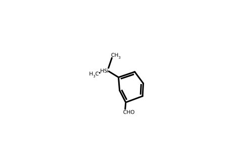 C[SiH](C)c1cccc(C=O)c1